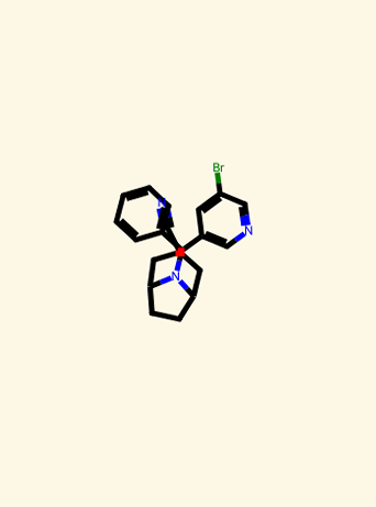 N#CC1(c2cncc(Br)c2)CC2CCC(C1)N2Cc1ccccc1